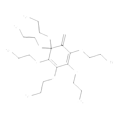 C=C1C(OCCC#N)=C(OCCC#N)C(OCCC#N)=C(OCCC#N)C1(OCCC#N)OCCC#N